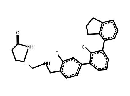 O=C1CC[C@@H](CNCc2ccc(-c3cccc(-c4cccc5c4CCC5)c3Cl)cc2F)N1